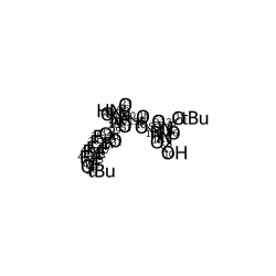 CC(C)(C)OCCn1c(=O)n(CCO)c(=O)n(CCOC(=O)CCn2c(=O)[nH]c(=O)n(CCC(=O)OC(F)(F)C(F)(F)C(F)(F)C(F)(F)C(F)(F)OC(C)(C)C)c2=O)c1=O